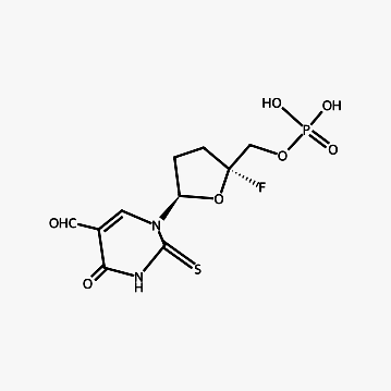 O=Cc1cn([C@H]2CC[C@@](F)(COP(=O)(O)O)O2)c(=S)[nH]c1=O